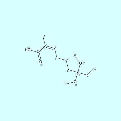 CC[Si](CCCC=C(C)C(=O)O)(OC)OC